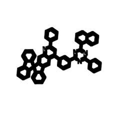 c1ccc(-c2cc(-c3cccc(-c4nc(-c5ccccc5)nc(-c5cccc6ccccc56)n4)c3)c3cc4c(cc3n2)C2(c3ccccc3-c3ccccc32)c2ccccc2-4)cc1